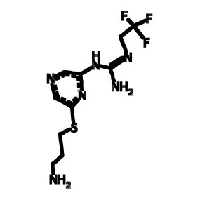 NCCCSc1cncc(N/C(N)=N\CC(F)(F)F)n1